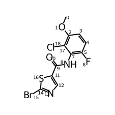 COc1ccc(F)c(NC(=O)c2cnc(Br)s2)c1Cl